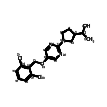 CC(O)C1CCN(c2ncc(OCc3c(Cl)cccc3Cl)cn2)C1